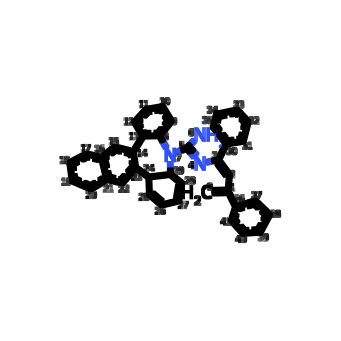 C=C(/C=C(\N=C(/N)N1c2ccccc2-c2cc3ccccc3cc2C2C=CC=CC21)c1ccccc1)c1ccccc1